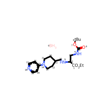 B.CCOC(=O)C(CNC(=O)OC(C)(C)C)NCC1CCN(c2ccncc2)CC1